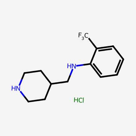 Cl.FC(F)(F)c1ccccc1NCC1CCNCC1